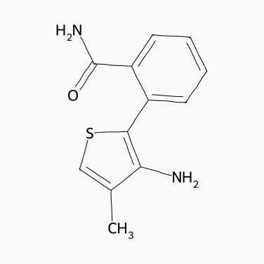 Cc1csc(-c2ccccc2C(N)=O)c1N